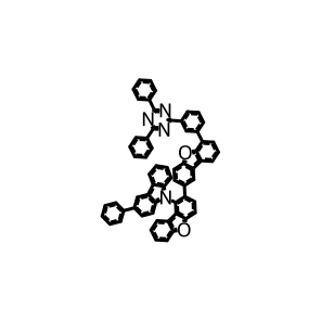 c1ccc(-c2ccc3c(c2)c2ccccc2n3-c2c(-c3ccc4oc5c(-c6cccc(-c7nc(-c8ccccc8)nc(-c8ccccc8)n7)c6)cccc5c4c3)ccc3oc4ccccc4c23)cc1